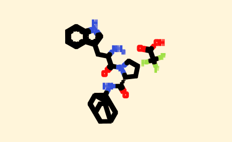 NC(Cc1c[nH]c2ccccc12)C(=O)N1CCC[C@@H]1C(=O)NC1C2CC3CC(C2)CC1C3.O=C(O)C(F)(F)F